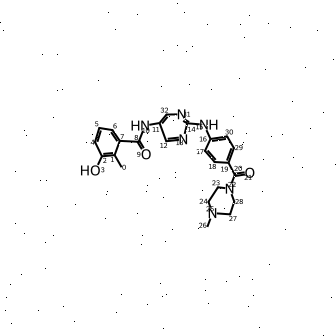 Cc1c(O)cccc1C(=O)Nc1cnc(Nc2ccc(C(=O)N3CCN(C)CC3)cc2)nc1